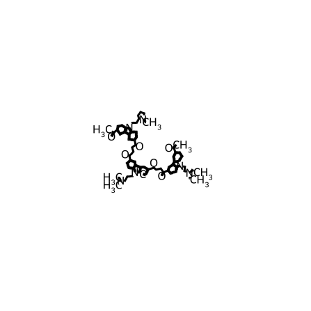 CCN(CC)CCn1c2ccc(C(C)=O)cc2c2cc(C(=O)CCC(=O)c3ccc4c(c3)c3cc(C(=O)CCC(=O)c5ccc6c(c5)c5cc(C(C)=O)ccc5n6CCC5CCCN5C)ccc3n4CCCN(C)C)ccc21